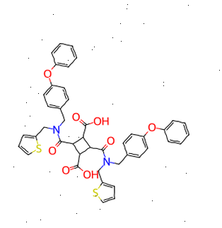 O=C(O)C1C(C(=O)N(Cc2ccc(Oc3ccccc3)cc2)Cc2cccs2)C(C(=O)O)C1C(=O)N(Cc1ccc(Oc2ccccc2)cc1)Cc1cccs1